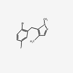 Cc1cnn(C)c1Cc1cc(F)ccc1Br